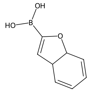 OB(O)C1=CC2C=CC=CC2O1